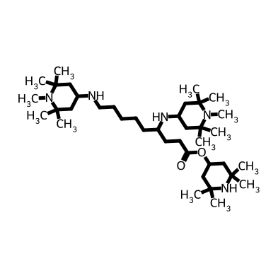 CN1C(C)(C)CC(NCCCCCC(CCC(=O)OC2CC(C)(C)NC(C)(C)C2)NC2CC(C)(C)N(C)C(C)(C)C2)CC1(C)C